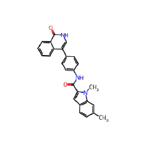 Cc1ccc2cc(C(=O)Nc3ccc(-c4c[nH]c(=O)c5ccccc45)cc3)n(C)c2c1